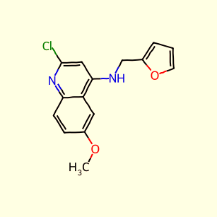 COc1ccc2nc(Cl)cc(NCc3ccco3)c2c1